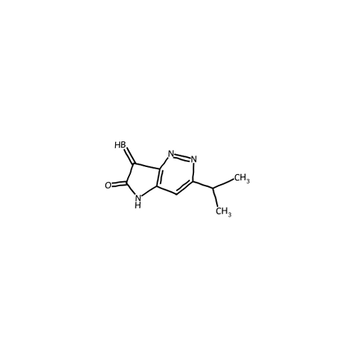 B=C1C(=O)Nc2cc(C(C)C)nnc21